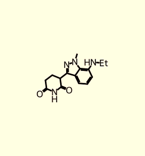 CCNc1cccc2c(C3CCC(=O)NC3=O)nn(C)c12